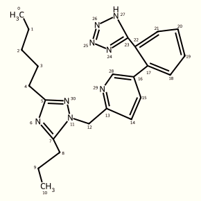 CCCCCc1nc(CCC)n(Cc2ccc(-c3ccccc3-c3nnn[nH]3)cn2)n1